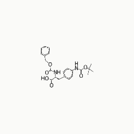 CC(C)(C)OC(=O)Nc1ccc(C[C@H](NC(=O)OCc2ccccc2)C(=O)O)cc1